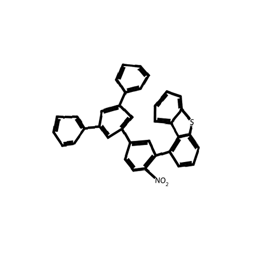 O=[N+]([O-])c1ccc(-c2cc(-c3ccccc3)cc(-c3ccccc3)c2)cc1-c1cccc2sc3ccccc3c12